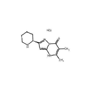 Cc1[nH]c2cc([C@@H]3CCCCN3)nn2c(=O)c1C.Cl